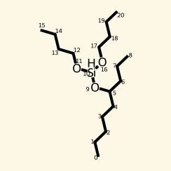 CCCCCC(CCC)O[SiH](OCCCC)OCCCC